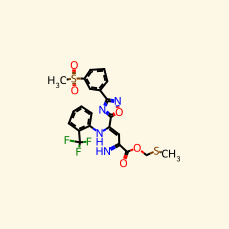 CSCOC(=O)C(=N)/C=C(\Nc1ccccc1C(F)(F)F)c1nc(-c2cccc(S(C)(=O)=O)c2)no1